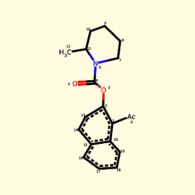 CC(=O)c1c(OC(=O)N2CCCCC2C)ccc2ccccc12